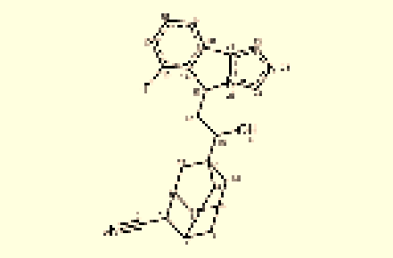 N#CC1C2CC3CC1CC(C(O)CC1c4c(F)cccc4-c4cncn41)(C3)C2